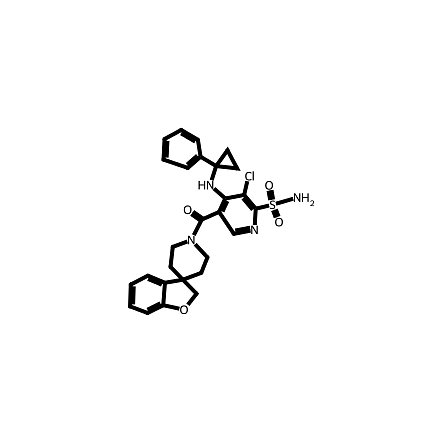 NS(=O)(=O)c1ncc(C(=O)N2CCC3(CC2)COc2ccccc23)c(NC2(c3ccccc3)CC2)c1Cl